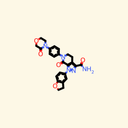 NC(=O)c1nn(-c2ccc3c(c2)CCO3)c2c1CCN(c1ccc(N3CCOCC3=O)cc1)C2=O